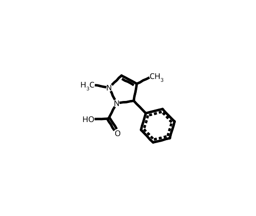 CC1=CN(C)N(C(=O)O)C1c1ccccc1